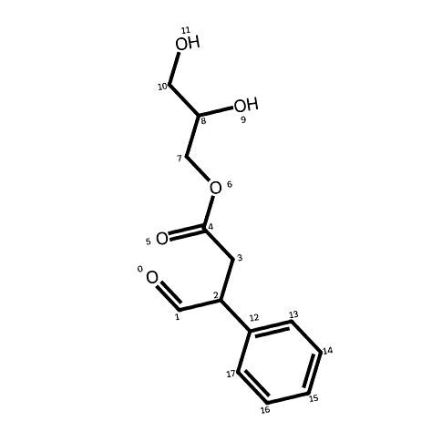 O=CC(CC(=O)OCC(O)CO)c1ccccc1